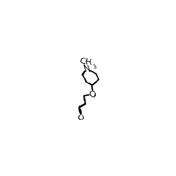 CN1CCC(OCCC=O)CC1